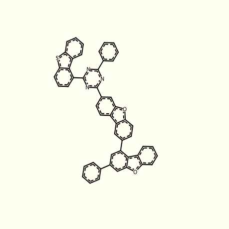 c1ccc(-c2cc(-c3ccc4oc5cc(-c6nc(-c7ccccc7)nc(-c7cccc8sc9ccccc9c78)n6)ccc5c4c3)c3c(c2)oc2ccccc23)cc1